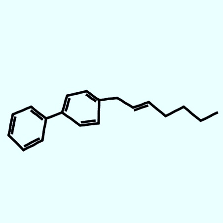 CCCCC=CCc1ccc(-c2ccccc2)cc1